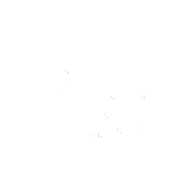 Cc1nc(N)nc(NCCc2cc3ccc(F)cn3c(=O)c2-c2ccccc2)c1C#N